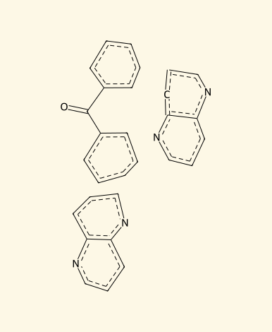 O=C(c1ccccc1)c1ccccc1.c1cnc2cccnc2c1.c1cnc2cccnc2c1